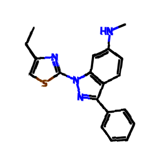 CCc1csc(-n2nc(-c3ccccc3)c3ccc(NC)cc32)n1